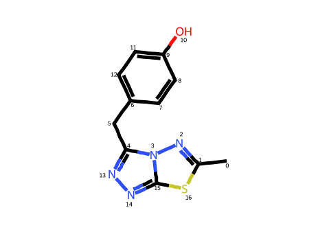 Cc1nn2c(Cc3ccc(O)cc3)nnc2s1